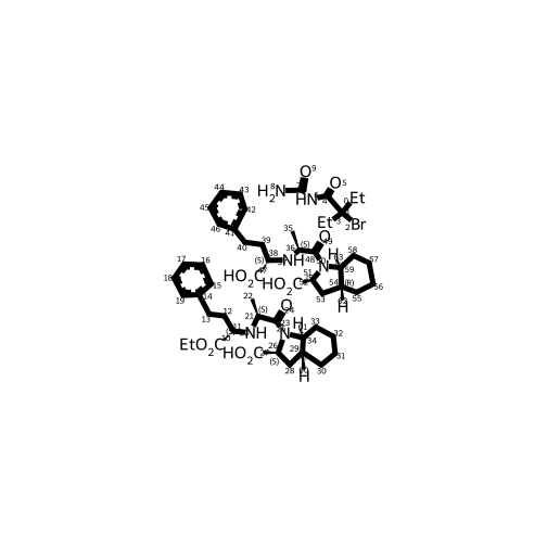 CCC(Br)(CC)C(=O)NC(N)=O.CCOC(=O)[C@H](CCc1ccccc1)N[C@@H](C)C(=O)N1[C@H](C(=O)O)C[C@H]2CCCC[C@@H]21.C[C@H](N[C@@H](CCc1ccccc1)C(=O)O)C(=O)N1[C@H](C(=O)O)C[C@H]2CCCC[C@@H]21